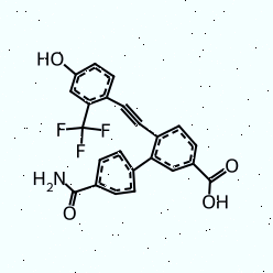 NC(=O)c1ccc(-c2cc(C(=O)O)ccc2C#Cc2ccc(O)cc2C(F)(F)F)cc1